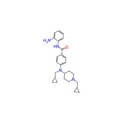 Nc1ccccc1NC(=O)c1ccc(N(CC2CC2)C2CCN(CC3CC3)CC2)cc1